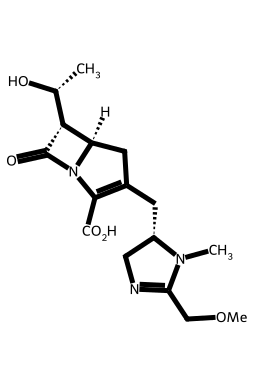 COCC1=NC[C@H](CC2=C(C(=O)O)N3C(=O)[C@H]([C@@H](C)O)[C@H]3C2)N1C